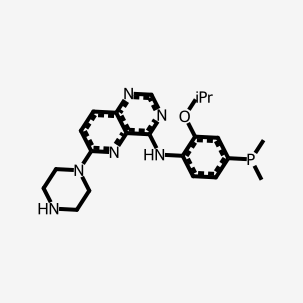 CC(C)Oc1cc(P(C)C)ccc1Nc1ncnc2ccc(N3CCNCC3)nc12